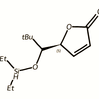 CC[SiH](CC)OC([C@@H]1C=CC(=O)O1)C(C)(C)C